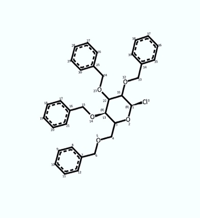 Cl[C@H]1OC(COCc2ccccc2)[C@@H](OCc2ccccc2)C(OCc2ccccc2)C1OCc1ccccc1